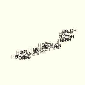 C[Si](C)(CCCn1cc(CNC(=O)C(O)C(O)C(O)C(O)CO)nn1)[Si](C)(O)CCCn1cc(CNC(=O)C(O)C(O)C(O)C(O)CO)nn1